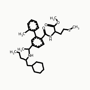 CCCC(CC1CCCCC1)NC(C)c1ccc(C(=O)NC(CCSC)C(=O)OC)c(-c2ccccc2C)c1